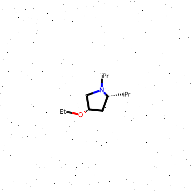 CCO[C@H]1C[C@@H](C(C)C)N(C(C)C)C1